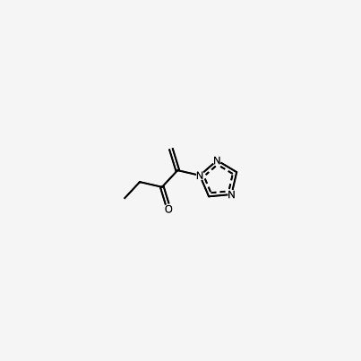 C=C(C(=O)CC)n1cncn1